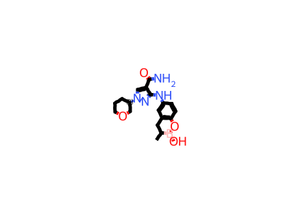 CC1Cc2cc(Nc3nn([C@@H]4CCCOC4)cc3C(N)=O)ccc2OB1O